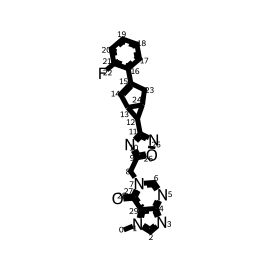 Cn1cnc2ncn(Cc3nc(C4C5C=C(c6ccccc6F)CC54)no3)c(=O)c21